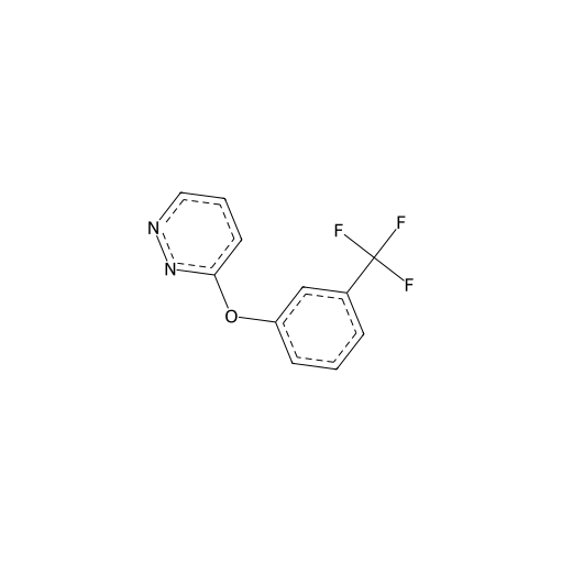 FC(F)(F)c1cccc(Oc2cccnn2)c1